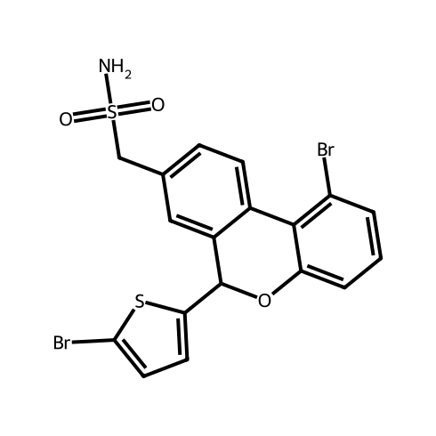 NS(=O)(=O)Cc1ccc2c(c1)C(c1ccc(Br)s1)Oc1cccc(Br)c1-2